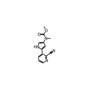 COC(=O)N(C)c1c[nH]c(-c2cccnc2C#N)c1